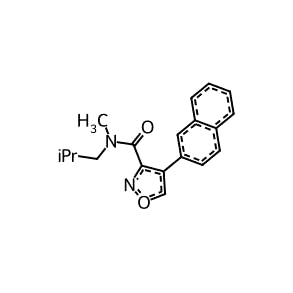 CC(C)CN(C)C(=O)c1nocc1-c1ccc2ccccc2c1